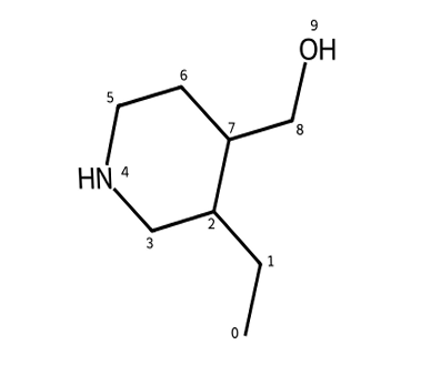 CCC1CNCCC1CO